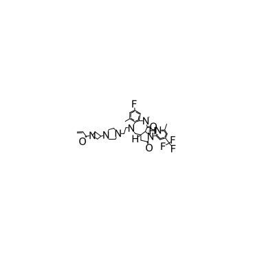 C=CC(=O)N1CC(N2CCN(CCN3C[C@H]4CC(=O)N(c5cc(C(F)(F)F)cc(C)n5)[C@@H]4C(=O)N(C)c4cc(F)cc(C)c43)CC2)C1